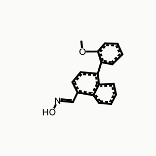 COc1ccccc1-c1ccc(C=NO)c2ccccc12